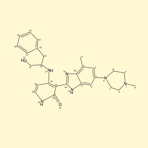 Cc1cc(N2CCN(C)CC2)cc2[nH]c(-c3c(NC(CO)Cc4ccccc4)cc[nH]c3=O)nc12